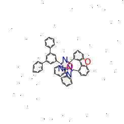 c1ccc(-c2cc(-c3ccccc3)cc(-c3nc(-c4ccccc4)nc(-c4cccc5oc6cccc(-c7nc8ccccc8o7)c6c45)n3)c2)cc1